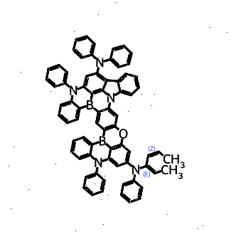 C/C=C\C(=C/C)N(c1ccccc1)c1cc2c3c(c1)N(c1ccccc1)c1ccccc1B3c1cc3c(cc1O2)-n1c2ccccc2c2c(N(c4ccccc4)c4ccccc4)cc4c(c21)B3c1ccccc1N4c1ccccc1